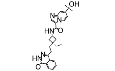 CC[C@]1(CCc2n[nH]c(=O)c3ccccc23)C[C@H](NC(=O)c2cnc3cc(C(C)(C)O)ccn23)C1